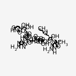 CCCCOCC[C@H]1[C@@H](O)[C@H](n2c[n+](C)c3c(=O)[nH]c(N)nc32)O[C@@H]1COP(=O)(O)OP(=O)(O)OP(=O)(O)OCC1O[C@@H](n2cnc3c(N)ncnc32)[C@H](OC)[C@@H]1OP(=O)(O)OC[C@H]1O[C@@H](n2ccc(=O)[nH]c2=O)[C@H](O)[C@@H]1O